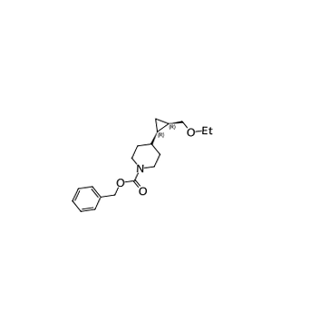 CCOC[C@@H]1C[C@@H]1C1CCN(C(=O)OCc2ccccc2)CC1